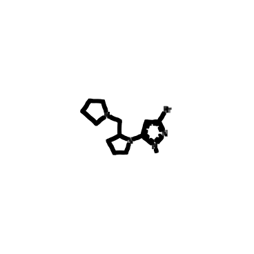 Cn1nc(Br)cc1N1CCCC1CN1CCCC1